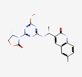 CC[C@H]1COC(=O)N1c1nc(N[C@@H](C)c2cc3cc(Cl)ccc3[nH]c2=O)nc(OC(F)(F)F)n1